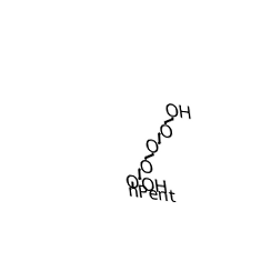 CCCCCOC(O)COCCOCCOCCO